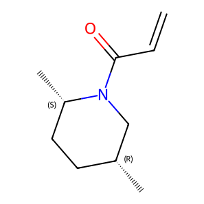 C=CC(=O)N1C[C@H](C)CC[C@@H]1C